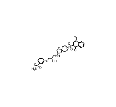 CCn1cc(S(=O)(=O)N2CCC3(CC2)CC(NC[C@H](O)COc2cccc(S(N)(=O)=O)c2)CO3)c(=O)c2ccccc21